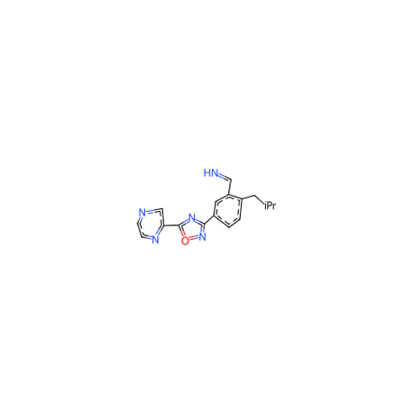 CC(C)Cc1ccc(-c2noc(-c3cnccn3)n2)cc1C=N